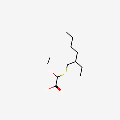 CCCCC(CC)CSC(O)C(=O)O.[CH3][Sn]